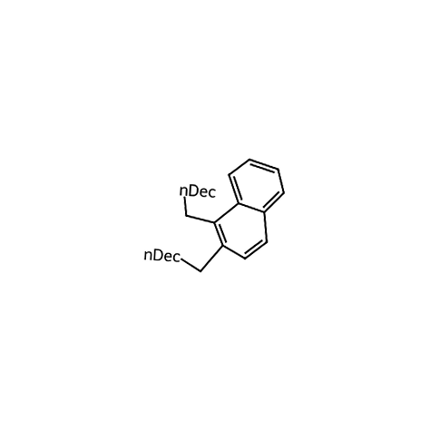 CCCCCCCCCCCc1ccc2ccccc2c1CCCCCCCCCCC